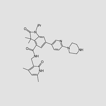 Cc1cc(C)c(CNC(=O)c2cc(-c3ccc(N4CCNCC4)nc3)cc3c2C(C)(C)C(=O)N3C(C)C)c(=O)[nH]1